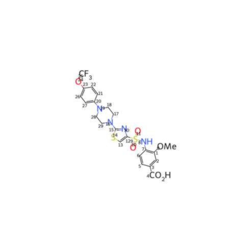 COc1cc(C(=O)O)ccc1NS(=O)(=O)c1csc(N2CCN(c3ccc(OC(F)(F)F)cc3)CC2)n1